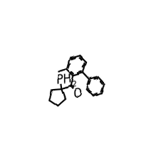 Cc1cccc(-c2ccccc2)c1C(=O)C1(P)CCCC1